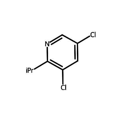 CC(C)c1ncc(Cl)cc1Cl